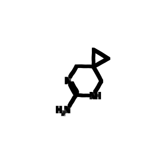 NC1=NCC2(CC2)CN1